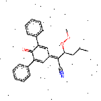 CCCC(OOC)C(C#N)=C1C=C(c2ccccc2)C(=O)C(c2ccccc2)=C1